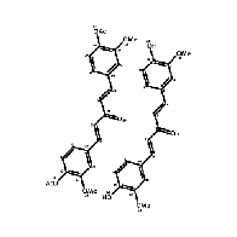 COc1cc(C=CC(=O)C=Cc2ccc(O)c(OC)c2)ccc1O.COc1cc(C=CC(=O)C=Cc2ccc(OC(C)=O)c(OC)c2)ccc1OC(C)=O